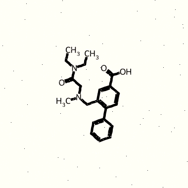 CCN(CC)C(=O)CN(C)Cc1cc(C(=O)O)ccc1-c1ccccc1